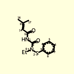 CCN(Sc1ccccc1)C(=O)NC(=O)C=C(C)C